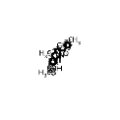 Cc1ccc(C(=O)c2[nH]c(C(C)c3ccc(NS(C)(=O)=O)cc3C#N)cc2C)cc1